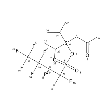 CC(=O)CS(OS(=O)(=O)C(F)(F)C(F)(F)C(F)(F)C(F)(F)F)(C(C)C)C(C)C